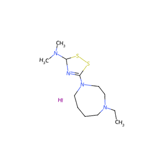 CCN1CCCCN(C2=NC(N(C)C)SS2)CC1.I